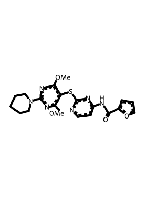 COc1nc(N2CCCCC2)nc(OC)c1Sc1nccc(NC(=O)c2ccco2)n1